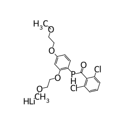 COCCOc1ccc(PC(=O)c2c(Cl)cccc2Cl)c(OCCOC)c1.[LiH]